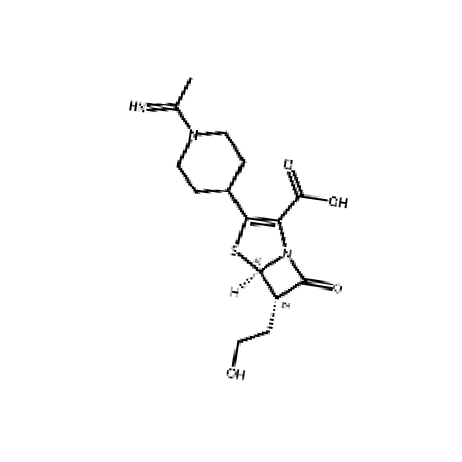 CC(=N)N1CCC(C2=C(C(=O)O)N3C(=O)[C@H](CCO)[C@H]3S2)CC1